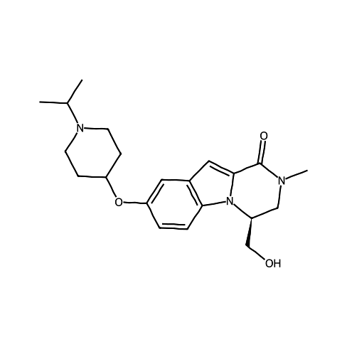 CC(C)N1CCC(Oc2ccc3c(c2)cc2n3[C@H](CO)CN(C)C2=O)CC1